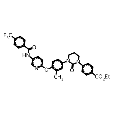 CCOC(=O)c1ccc(N2CCCN(c3ccc(Oc4ccc(NC(=O)c5ccc(C(F)(F)F)cc5)cn4)c(C)c3)C2=O)cc1